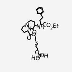 CCOC(=O)C(CCc1ccccc1)NC1CCCN2CCCC(C(=O)OCCSCCON(O)O)N2C1=O